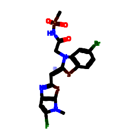 Cn1c(F)cc2nc(/C=C3\Sc4ccc(Br)cc4N3CC(=O)NS(C)(=O)=O)sc21